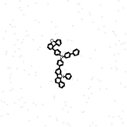 c1ccc(-c2ccc(N(c3ccc(-c4ccc5c6ccc7ccccc7c6n(-c6ccccc6)c5c4)cc3)c3ccc(-c4cccc5oc6ccccc6c45)cc3)cc2)cc1